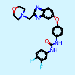 O=C(Nc1ccc(Oc2ccc3ncc(CN4CCOCC4)nc3c2)cc1)Nc1ccc(F)c(F)c1